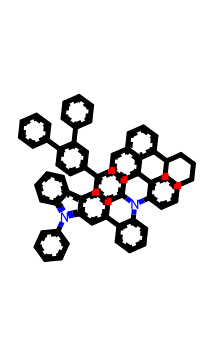 c1ccc(-c2ccc(-c3ccc(N(c4ccccc4-c4ccc5c6ccccc6n(-c6ccccc6)c5c4)c4ccccc4-c4cccc5cccc(C6CCCCC6)c45)cc3)cc2-c2ccccc2)cc1